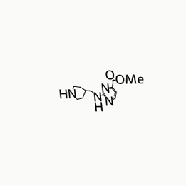 COC(=O)c1ccnc(NCC2CCNCC2)n1